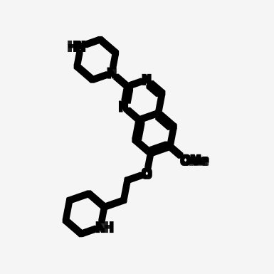 COc1cc2cnc(N3CCNCC3)nc2cc1OCCC1CCCCN1